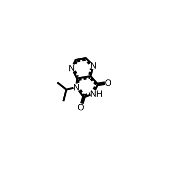 CC(C)n1c(=O)[nH]c(=O)c2nccnc21